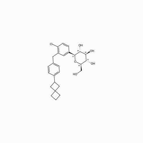 OC[C@H]1O[C@@H](c2ccc(Cl)c(Cc3ccc(C4CC5(CCC5)C4)cc3)c2)[C@H](O)[C@@H](O)[C@@H]1O